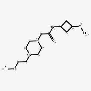 COCCN1CCN(CC(=O)NC2CC(OC)C2)CC1